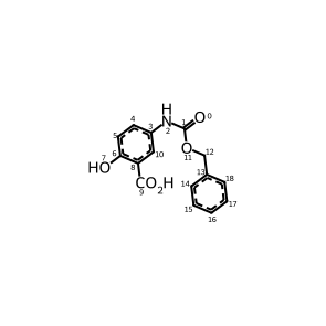 O=C(Nc1ccc(O)c(C(=O)O)c1)OCc1ccccc1